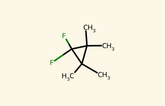 CC1(C)C(C)(C)C1(F)F